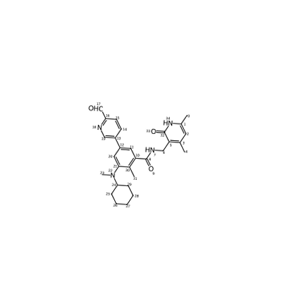 Cc1cc(C)c(CNC(=O)c2cc(-c3ccc(C=O)nc3)cc(N(C)C3CCCCC3)c2C)c(=O)[nH]1